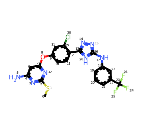 CSc1nc(N)cc(Oc2ccc(-c3nnc(Nc4cccc(C(F)(F)F)c4)[nH]3)c(Cl)c2)n1